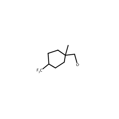 CC1(C[O])CCC(C(F)(F)F)CC1